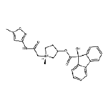 Cc1cc(NC(=O)C[N@+]2(C)CCC(OC(=O)C3(O)c4ccccc4-c4ccccc43)C2)no1